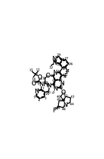 C[C@H](c1cccnc1NC(=O)OC(C)(C)C)N1CCOc2nc(-c3c(F)ccc4cnn(C)c34)c(F)c3nc(OC[C@@]45CCCN4C[C@H](F)C5)nc1c23